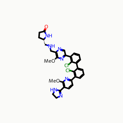 COc1nc(-c2cccc(-c3cccc(-c4cnc(CNC[C@@H]5CCC(=O)N5)c(OC)n4)c3Cl)c2Cl)ccc1C1=NCCN1